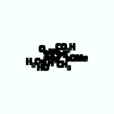 COCSC1=C(C(=O)O)N2C(=O)[C@H](C(C)O)[C@H]2[C@H]1C